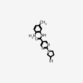 CCC1CCN(c2ncc(C(=O)Nc3cc(C)ccc3N)cn2)C1